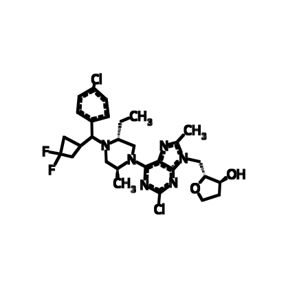 CC[C@@H]1CN(c2nc(Cl)nc3c2nc(C)n3C[C@H]2OCC[C@@H]2O)[C@@H](C)CN1C(c1ccc(Cl)cc1)C1CC(F)(F)C1